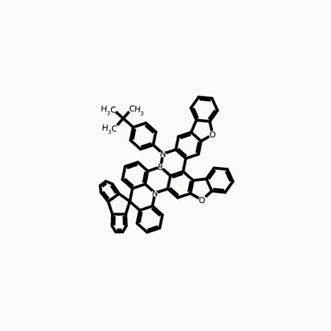 CC(C)(C)c1ccc(N2B3c4cccc5c4N(c4ccccc4C54c5ccccc5-c5ccccc54)c4cc5oc6ccccc6c5c(c43)-c3cc4oc5ccccc5c4cc32)cc1